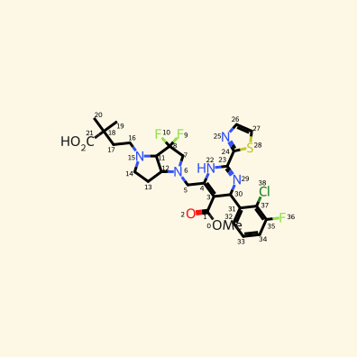 COC(=O)C1=C(CN2CC(F)(F)C3C2CCN3CCC(C)(C)C(=O)O)NC(c2nccs2)=NC1c1cccc(F)c1Cl